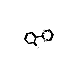 S=C1CC=CC=C1c1ncccn1